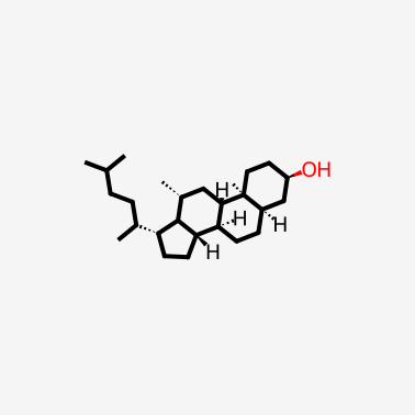 CC(C)CCC(C)[C@H]1CC[C@@H]2C1[C@H](C)C[C@H]1[C@H]2CC[C@@H]2C[C@H](O)CC[C@@]21C